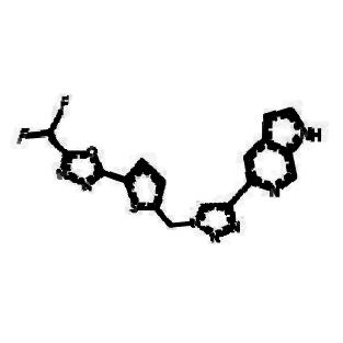 FC(F)c1nnc(-c2ccc(Cn3cc(-c4cc5cc[nH]c5cn4)nn3)s2)o1